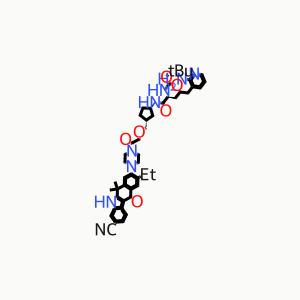 CCc1cc2c(cc1N1CCN(C(=O)COC[C@@H]3CC[C@@H](NC(=O)[C@H](CCCc4cccnc4N)NC(=O)OC(C)(C)C)C3)CC1)C(C)(C)c1[nH]c3cc(C#N)ccc3c1C2=O